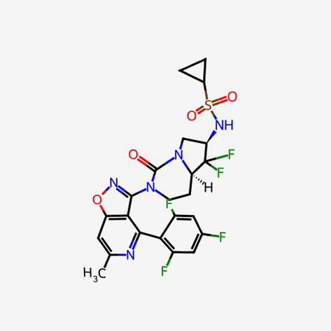 Cc1cc2onc(N3CC[C@H]4N(C[C@@H](NS(=O)(=O)C5CC5)C4(F)F)C3=O)c2c(-c2c(F)cc(F)cc2F)n1